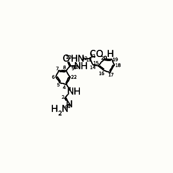 NN=CNc1cccc(C(=O)NNC(Cc2ccccc2)C(=O)O)c1